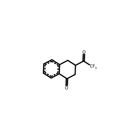 O=C1CC(C(=O)C(F)(F)F)Cc2ccccc21